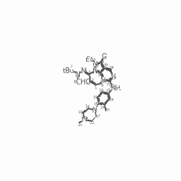 C/C=C\C(=N/N(C=O)C(C)(C)C)n1c2nc(Nc3ccc(N4CCN(C)CC4)c(C)c3)ncc2c(=O)n1CC